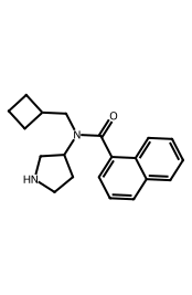 O=C(c1cccc2ccccc12)N(CC1CCC1)C1CCNC1